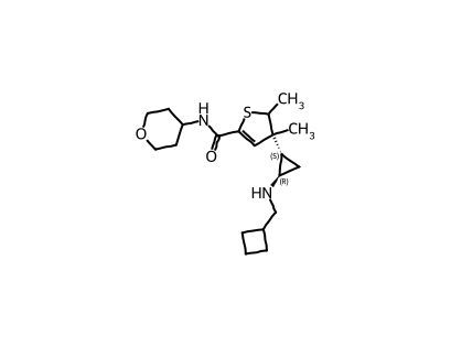 CC1SC(C(=O)NC2CCOCC2)=CC1(C)[C@@H]1C[C@H]1NCC1CCC1